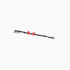 CC/C=C/C/C=C/C/C=C/C/C=C/C/C=C/C/C=C/CCC(=O)OCCCOC(=O)CCCCCCCCCCCCC/C=C\CCCCCCCC